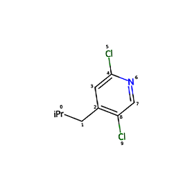 CC(C)Cc1cc(Cl)ncc1Cl